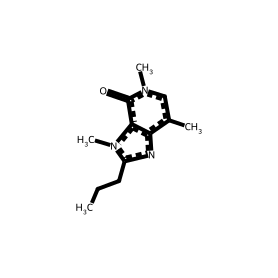 CCCc1nc2c(C)cn(C)c(=O)c2n1C